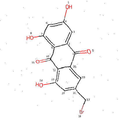 O=C1c2cc(O)cc(O)c2C(=O)c2c(O)cc(CBr)cc21